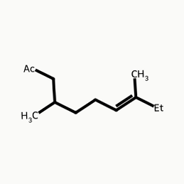 CCC(C)=CCCC(C)CC(C)=O